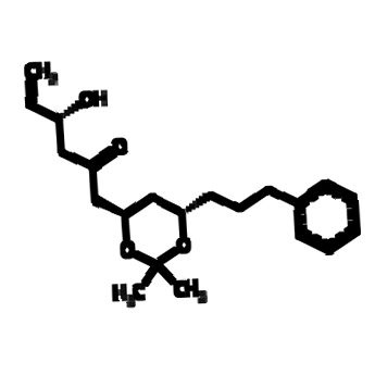 C=C[C@H](O)CC(=O)C[C@H]1C[C@H](CCCc2ccccc2)OC(C)(C)O1